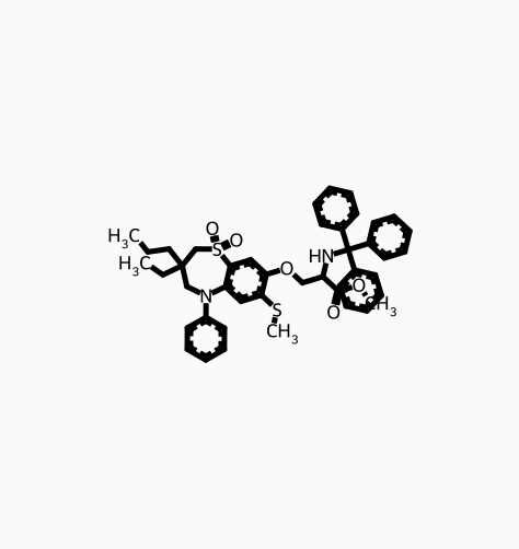 CCCC1(CC)CN(c2ccccc2)c2cc(SC)c(OCC(NC(c3ccccc3)(c3ccccc3)c3ccccc3)C(=O)OC)cc2S(=O)(=O)C1